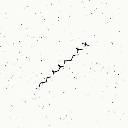 CC(C)(C)OC(=O)NCCCNC(=O)CC(=O)NCCCN